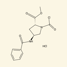 COC(=O)[C@H]1C[C@H](NC(=O)c2ccccc2)CN1C(=O)Cl.Cl